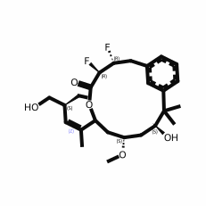 CC[C@@H](/C=C(/C)C1C[C@@H](OC)C[C@H](O)C(C)(C)c2cccc(c2)C[C@@H](F)[C@H](F)C(=O)O1)CO